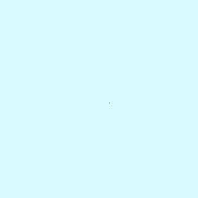 O=C(O)C=CCN1CCCCCC1